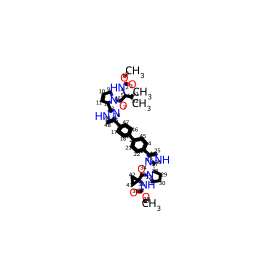 COC(=O)N[C@H](C(=O)N1CC=CC1c1nc(-c2ccc(-c3ccc(-c4c[nH]c([C@@H]5CCCN5C(=O)C5(NC(=O)OC)CC5)n4)cc3)cc2)c[nH]1)C(C)C